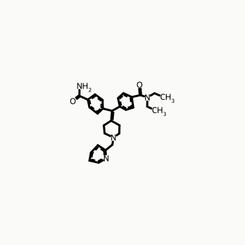 CCN(CC)C(=O)c1ccc(C(=C2CCN(Cc3ccccn3)CC2)c2ccc(C(N)=O)cc2)cc1